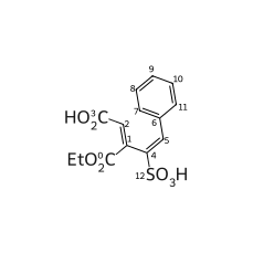 CCOC(=O)C(=CC(=O)O)C(=Cc1ccccc1)S(=O)(=O)O